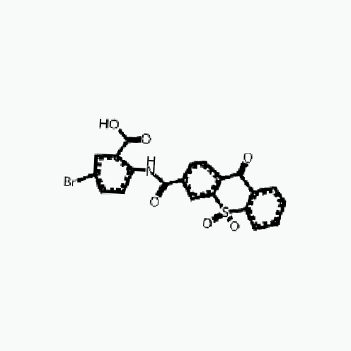 O=C(Nc1ccc(Br)cc1C(=O)O)c1ccc2c(c1)S(=O)(=O)c1ccccc1C2=O